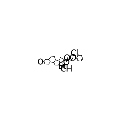 C#C[C@]1(OC(=O)COc2ccccc2Cl)CCC2C3CCC4=CC(=O)CCC4C3CC[C@@]21CC